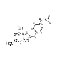 COCc1nn(Cc2ccc(CC3CC3)cc2)cc1C(=O)O